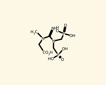 CN(CC(=O)O)C(=N)N(CP(=O)(O)O)CP(=O)(O)O